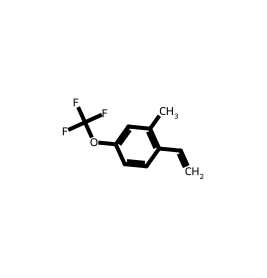 C=Cc1ccc(OC(F)(F)F)cc1C